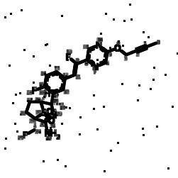 CC#CCOc1cnc(/C(F)=C/c2ccc(F)c([C@@]3(C)N=C(N)[C@@]4(CF)CC[C@@H]3S4(=O)=O)c2)cn1